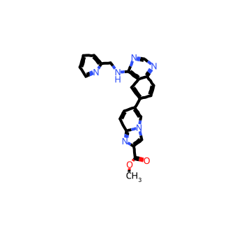 COC(=O)c1cn2cc(-c3ccc4ncnc(NCc5ccccn5)c4c3)ccc2n1